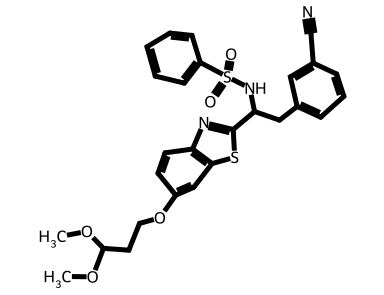 COC(CCOc1ccc2nc(C(Cc3cccc(C#N)c3)NS(=O)(=O)c3ccccc3)sc2c1)OC